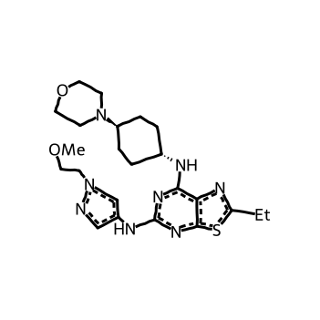 CCc1nc2c(N[C@H]3CC[C@H](N4CCOCC4)CC3)nc(Nc3cnn(CCOC)c3)nc2s1